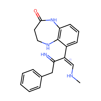 CN/C=C(\C(=N)Cc1ccccc1)c1cccc2c1NCCC(=O)N2